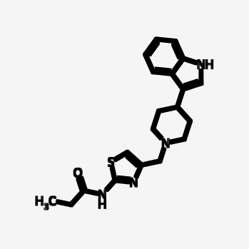 CCC(=O)Nc1nc(CN2CCC(c3c[nH]c4ccccc34)CC2)cs1